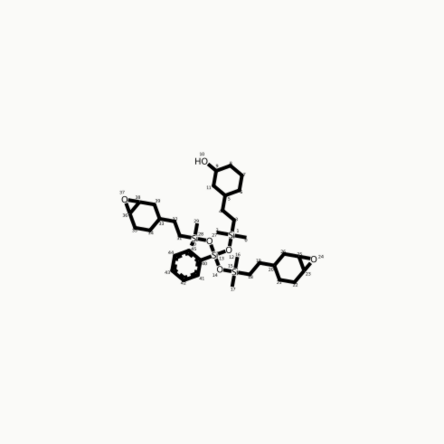 C[Si](C)(CCC1CCCC(O)C1)O[Si](O[Si](C)(C)CCC1CCC2OC2C1)(O[Si](C)(C)CCC1CCC2OC2C1)c1ccccc1